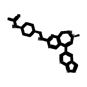 CC(=O)N[C@H]1CC[C@@H](CNc2ncc3c(n2)CN[C@H](C)C=C3c2cnc3nccn3c2)CC1